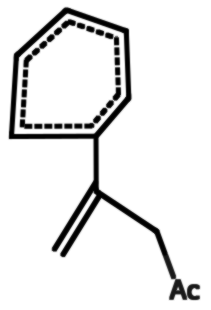 C=C(CC(C)=O)c1ccccc1